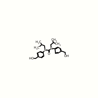 CC(C)CN(C(=O)N(CC(C)C)c1ccc(CO)cc1)c1ccc(CO)cc1